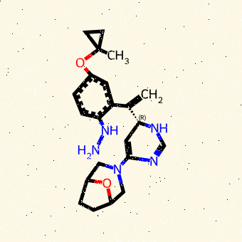 C=C(c1cc(OC2(C)CC2)ccc1NN)[C@H]1C=C(N2CC3CCC(C2)O3)N=CN1